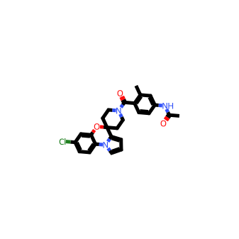 CC(=O)Nc1ccc(C(=O)N2CCC3(CC2)Oc2cc(Cl)ccc2-n2cccc23)c(C)c1